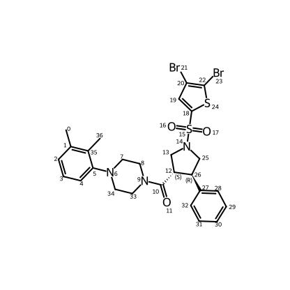 Cc1cccc(N2CCN(C(=O)[C@@H]3CN(S(=O)(=O)c4cc(Br)c(Br)s4)C[C@H]3c3ccccc3)CC2)c1C